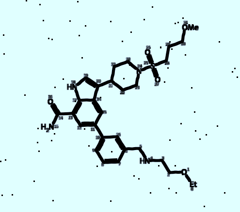 CCOCCNCc1cccc(-c2cc(C(N)=O)c3[nH]cc(C4CCN(S(=O)(=O)CCCOC)CC4)c3c2)c1